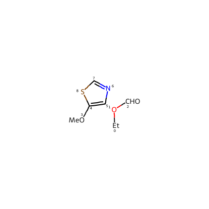 CCOC=O.COc1cncs1